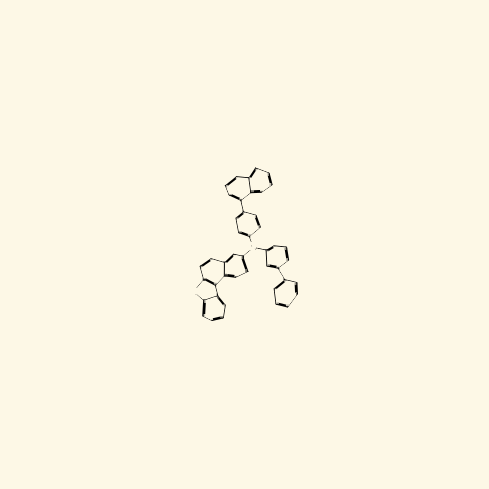 c1ccc(-c2cccc(N(c3ccc(-c4cccc5ccccc45)cc3)c3ccc4c(ccc5sc6ccccc6c54)c3)c2)cc1